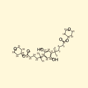 CC(C)(CCCC(=O)OC1CCOCC1)c1cc(O)c(C(C)(C)CCCC(=O)OC2CCOCC2)cc1O